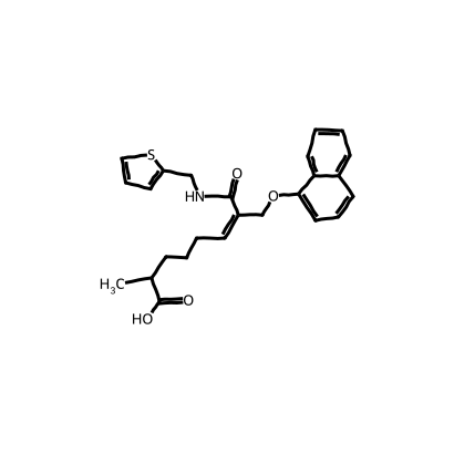 CC(CCCC=C(COc1cccc2ccccc12)C(=O)NCc1cccs1)C(=O)O